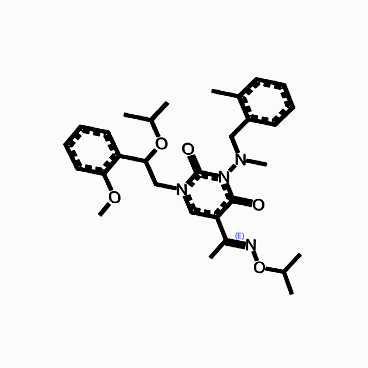 COc1ccccc1C(Cn1cc(/C(C)=N/OC(C)C)c(=O)n(N(C)Cc2ccccc2C)c1=O)OC(C)C